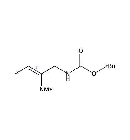 C/C=C(/CNC(=O)OC(C)(C)C)NC